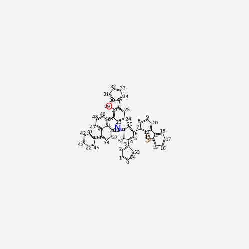 c1ccc(-c2cc(-c3cccc4c3sc3ccccc34)cc(N(c3ccc4c(c3)oc3ccccc34)c3ccc(-c4ccccc4)c4ccccc34)c2)cc1